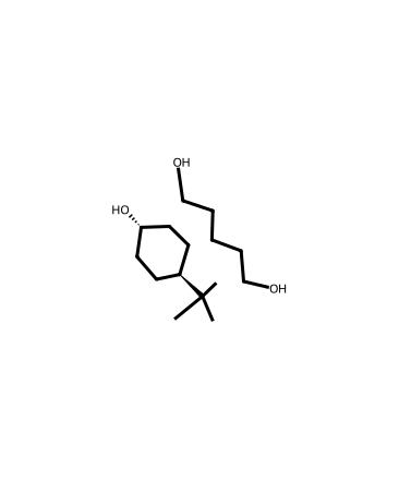 CC(C)(C)[C@H]1CC[C@H](O)CC1.OCCCCCO